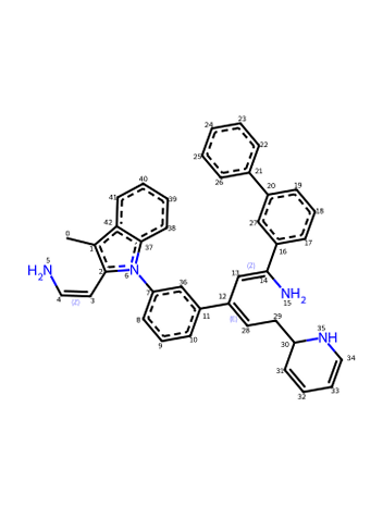 Cc1c(/C=C\N)n(-c2cccc(C(/C=C(\N)c3cccc(-c4ccccc4)c3)=C/CC3C=CC=CN3)c2)c2ccccc12